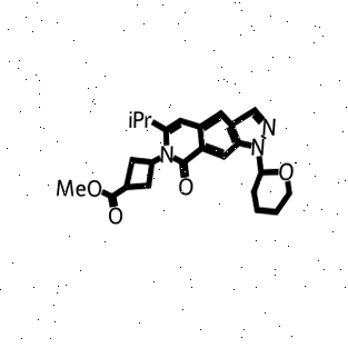 COC(=O)C1CC(n2c(C(C)C)cc3cc4cnn(C5CCCCO5)c4cc3c2=O)C1